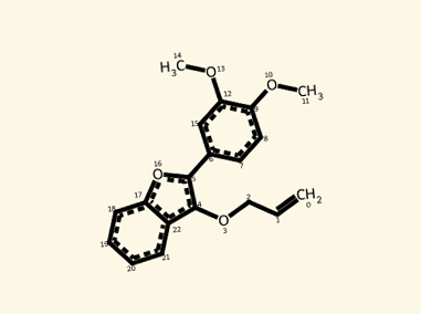 C=CCOc1c(-c2ccc(OC)c(OC)c2)oc2ccccc12